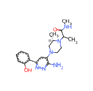 CNC(=O)C(C)N1CCN(c2cc(-c3ccccc3O)nnc2N)C[C@@H]1C